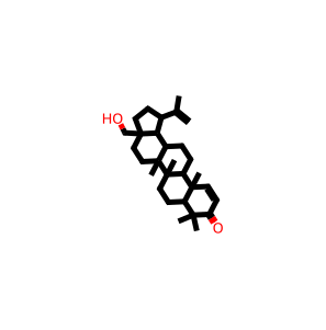 C=C(C)C1CCC2(CO)CCC3(C)C(CCC4C5(C)C=CC(=O)C(C)(C)C5CCC43C)C12